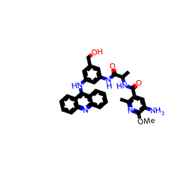 COc1nc(C)c(C(=O)NC(C)C(=O)Nc2cc(CO)cc(Nc3c4ccccc4nc4ccccc34)c2)cc1N